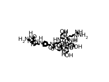 CC[C@H](NC(=O)[C@H](CC(=O)O)NC(=O)[C@H](CC(=O)O)NC(=O)[C@H](CCCNC(=N)N)NC(=O)[C@H](CC(=O)O)NC(=O)CC[C@H](NC(=O)c1ccc(NCc2cnc3nc(N)[nH]c(=O)c3n2)cc1)C(=O)O)C(=O)O